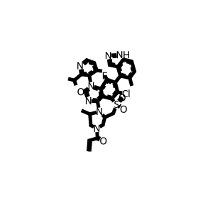 C=CC(=O)N1CC(C)N2c3nc(=O)n(-c4c(C)ccnc4C(C)C)c4c(F)c(-c5c(C)ccc6[nH]ncc56)c(Cl)c(c34)S(=O)(=O)CC2C1